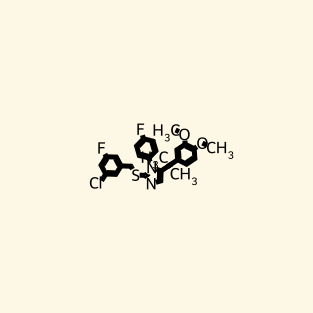 COc1ccc(C(C)(C)c2cnc(SCc3cc(F)cc(Cl)c3)n2-c2ccc(F)cc2)cc1OC